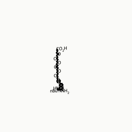 CCCCc1nc2c(N)nc3ccc(N4CCN(CCC(=O)CCC(=O)CCC(=O)CCC(=O)CCC(=O)CCC(=O)CCCC(=O)O)CC4)cc3c2[nH]1